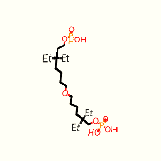 CCC(CC)(CCCCOCCCCC(CC)(CC)COP(=O)(O)O)CCO[PH](=O)O